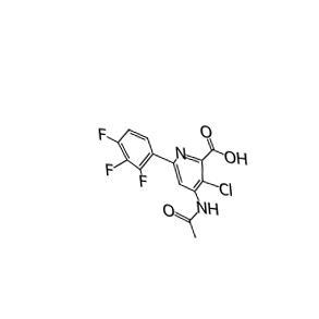 CC(=O)Nc1cc(-c2ccc(F)c(F)c2F)nc(C(=O)O)c1Cl